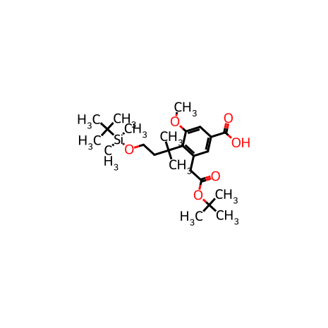 COc1cc(C(=O)O)cc(CC(=O)OC(C)(C)C)c1C(C)(C)CCO[Si](C)(C)C(C)(C)C